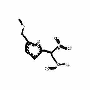 COCc1ccc(C([N+](=O)[O-])[SH](=O)=O)s1